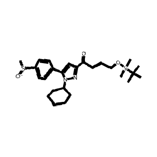 C[S+]([O-])c1ccc(-c2cc(C(=O)CCCO[Si](C)(C)C(C)(C)C)nn2C2CCCCC2)cc1